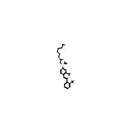 C[C@H](CCCC1CN(c2ccc3cc(-c4ccccc4C(F)(F)F)[nH]c(=O)c3c2)C(=O)O1)[C@@H](N)C(=O)O